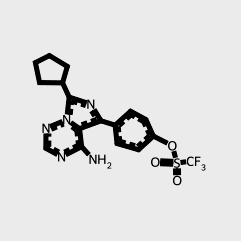 Nc1ncnn2c(C3CCCC3)nc(-c3ccc(OS(=O)(=O)C(F)(F)F)cc3)c12